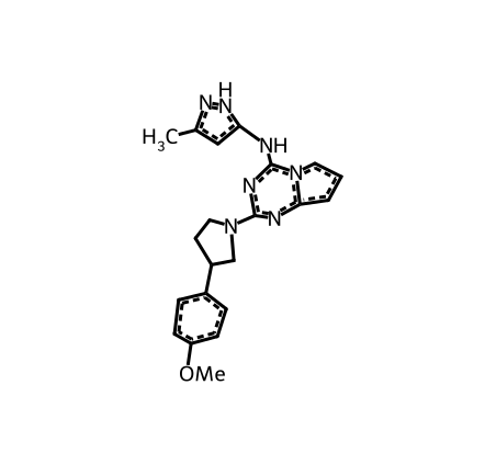 COc1ccc(C2CCN(c3nc(Nc4cc(C)n[nH]4)n4cccc4n3)C2)cc1